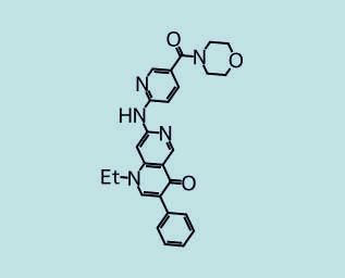 CCn1cc(-c2ccccc2)c(=O)c2cnc(Nc3ccc(C(=O)N4CCOCC4)cn3)cc21